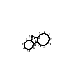 C1CCCC2NC3CCCCCC3C2CCC1